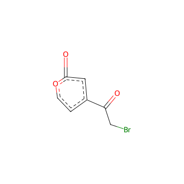 O=C(CBr)c1ccoc(=O)c1